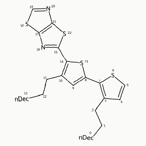 CCCCCCCCCCCCc1ccsc1-c1cc(CCCCCCCCCCCC)c(-c2nc3scnc3s2)s1